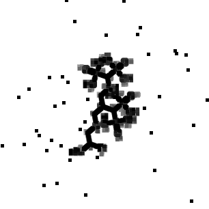 CCCCC(CC)COCC(CNC(P(=O)(O)O)P(=O)(O)O)C(P(=O)(O)O)P(=O)(O)O